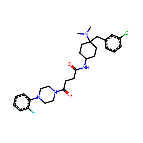 CN(C)C1(Cc2cccc(Cl)c2)CCC(NC(=O)CCC(=O)N2CCN(c3ccccc3F)CC2)CC1